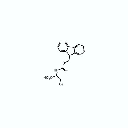 O=C(NC(CS)C(=O)O)OCC1c2ccccc2-c2ccccc21